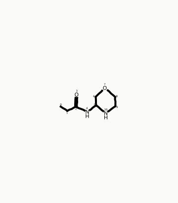 CCC(=O)NC1COCCN1